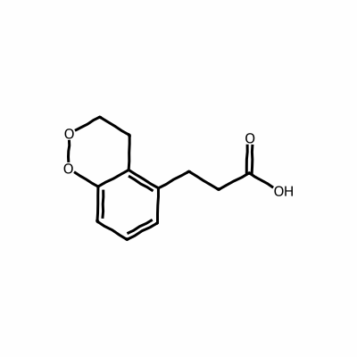 O=C(O)CCc1cccc2c1CCOO2